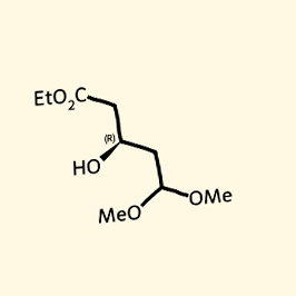 CCOC(=O)C[C@H](O)CC(OC)OC